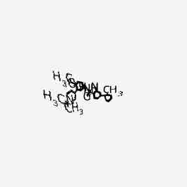 COc1ccc(NC(=O)c2ccc(-c3ccccc3C)cc2N)cc1C1CCN(C(C)C)CC1